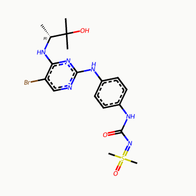 C[C@@H](Nc1nc(Nc2ccc(NC(=O)N=S(C)(C)=O)cc2)ncc1Br)C(C)(C)O